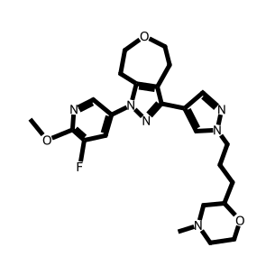 COc1ncc(-n2nc(-c3cnn(CCCC4CN(C)CCO4)c3)c3c2CCOCC3)cc1F